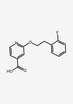 O=C(O)c1ccnc(OCCc2ccccc2F)c1